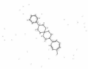 CC1=C=CC=C(C2OCC3(CO2)COC(c2cccnc2)OC3)C=C1